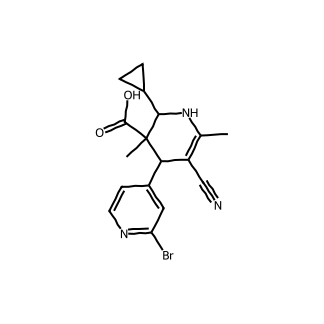 CC1=C(C#N)C(c2ccnc(Br)c2)C(C)(C(=O)O)C(C2CC2)N1